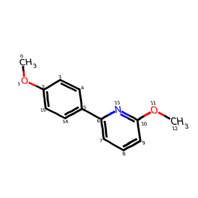 COc1ccc(-c2cccc(OC)n2)cc1